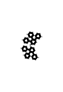 c1ccc(-c2ccc(Sc3ccc(-c4ccccc4)c(-c4ccccc4)c3-c3ccccc3)c(-c3ccccc3)c2-c2ccccc2)cc1